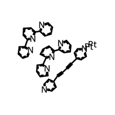 C(C#Cc1ccncc1)#Cc1ccncc1.[Pt].[Pt].c1ccc(-c2cccc(-c3ccccn3)n2)nc1.c1ccc(-c2cccc(-c3ccccn3)n2)nc1